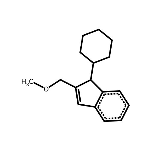 COCC1=Cc2ccccc2C1C1CCCCC1